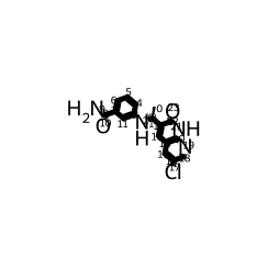 C[C@H](Nc1cccc(C(N)=O)c1)c1cc2cc(Cl)cnc2[nH]c1=O